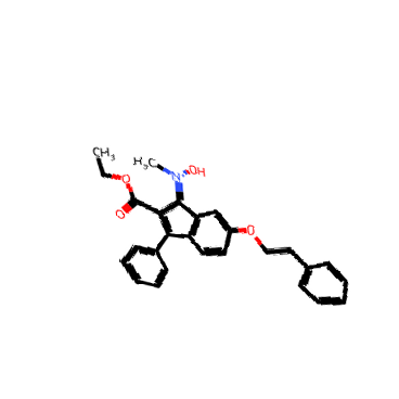 CCOC(=O)C1=C(c2ccccc2)c2ccc(OCCc3ccccc3)cc2/C1=[N+](/C)O